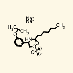 CCCCCCCC(=O)NC(COP(=O)([O-])[O-])c1cccc(OC(C)C)c1.[Na+].[Na+]